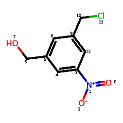 O=[N+]([O-])c1cc(CO)cc(CCl)c1